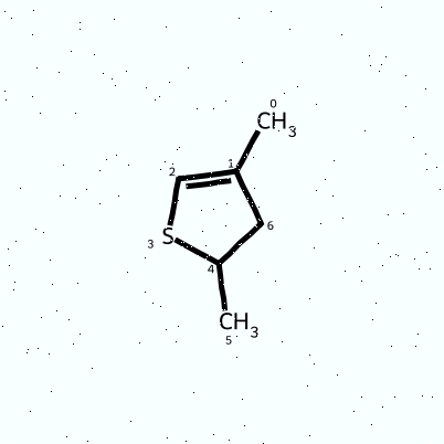 CC1=CSC(C)C1